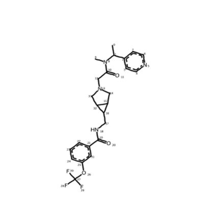 CC(c1ccncc1)N(C)C(=O)CN1CC2C(CNC(=O)c3cccc(OC(F)(F)F)c3)C2C1